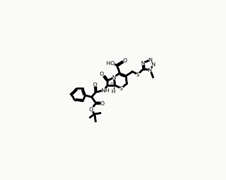 Cn1nnnc1SCC1=C(C(=O)O)N2C(=O)C(NC(=O)C(C(=O)OC(C)(C)C)c3ccccc3)[C@@H]2SC1